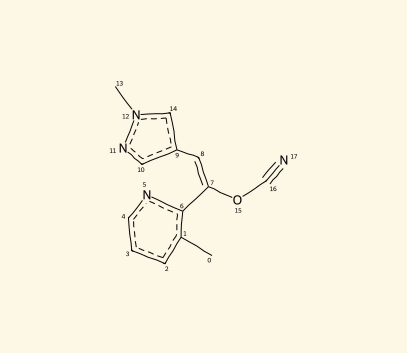 Cc1cccnc1/C(=C\c1cnn(C)c1)OC#N